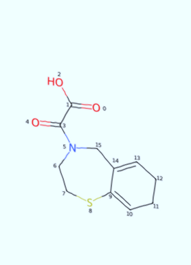 O=C(O)C(=O)N1CCSC2=CCCC=C2C1